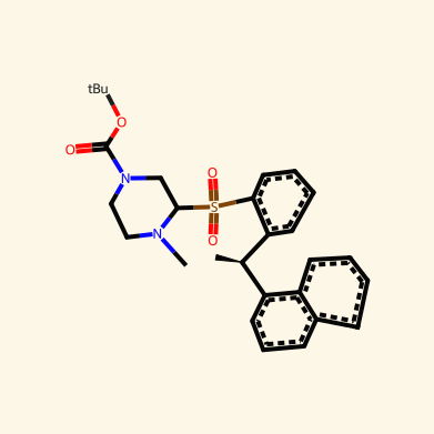 C[C@@H](c1ccccc1S(=O)(=O)C1CN(C(=O)OC(C)(C)C)CCN1C)c1cccc2ccccc12